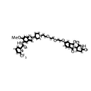 COc1cc2nn(C3CCN(CCOCCOCCOc4ccc5c(c4)C(=O)N(C4CCC(=O)NC4=O)C5=O)CC3)cc2cc1NC(=O)c1cccc(C(F)(F)F)n1